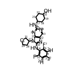 [2H]c1c(F)c([2H])c(F)c(Nc2nc3cnc(NC4CCC(O)CC4)nc3n2C2CCOC2)c1F